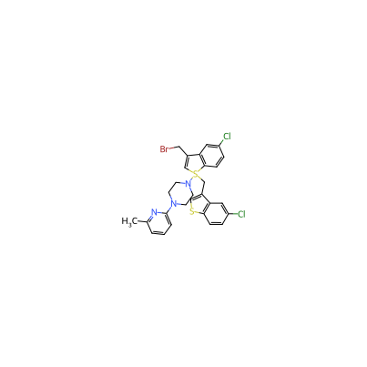 Cc1cccc(N2CCN(S3(Cc4csc5ccc(Cl)cc45)C=C(CBr)c4cc(Cl)ccc43)CC2)n1